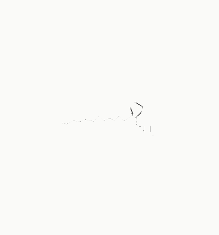 CCCCCCCCCCCCc1ccccc1CN